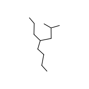 CCCCC(CCC)CC(C)C